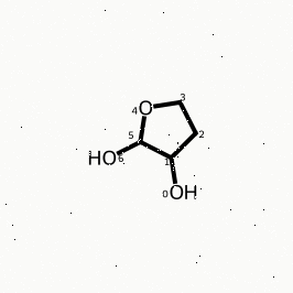 OC1CCOC1O